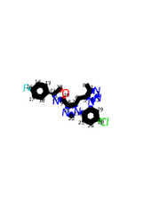 Cc1nnn2c1Cc1c(C3=N[C@@H](c4ccc(F)cc4)CO3)ncn1-c1ccc(Cl)cc1-2